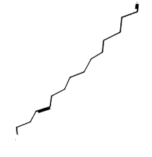 CCCC=CCCCCCCCCCC=O